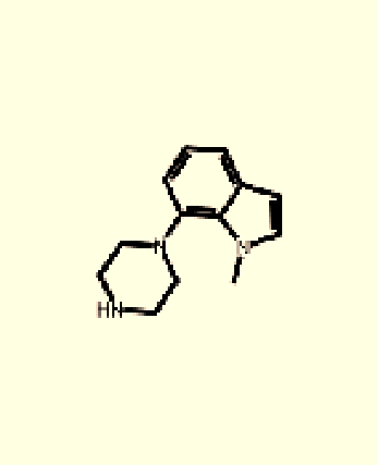 Cn1ccc2cccc(N3CCNCC3)c21